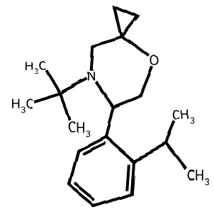 CC(C)c1ccccc1C1COC2(CC2)CN1C(C)(C)C